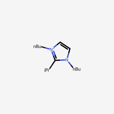 CCCCn1cc[n+](CCCC)c1C(C)C